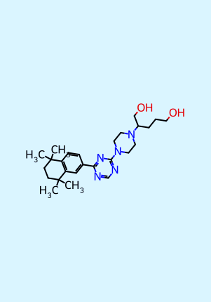 CC1(C)CCC(C)(C)c2cc(-c3ncnc(N4CCN(C(CO)CCCO)CC4)n3)ccc21